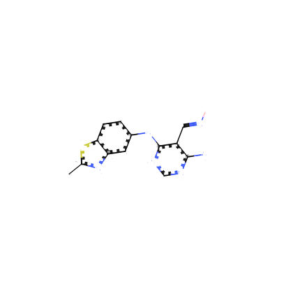 B/N=C/c1c(N)ncnc1Nc1ccc2sc(C)nc2c1